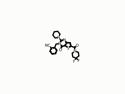 N#Cc1ccccc1Cn1c(N2CCCCC2)nc2cc(C(=O)N3CCC(F)(F)CC3)sc2c1=O